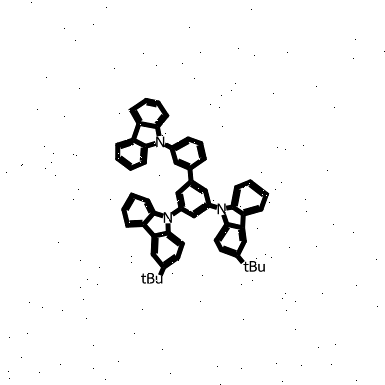 CC(C)(C)c1ccc2c(c1)c1ccccc1n2-c1cc(-c2cccc(-n3c4ccccc4c4ccccc43)c2)cc(-n2c3ccccc3c3cc(C(C)(C)C)ccc32)c1